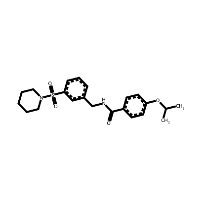 CC(C)Oc1ccc(C(=O)NCc2cccc(S(=O)(=O)N3CCCCC3)c2)cc1